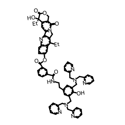 CCc1c2c(nc3ccc(OC(=O)c4cccc(C(=O)NCCc5cc(CN(Cc6ccccn6)Cc6ccccn6)c(O)c(CN(Cc6ccccn6)Cc6ccccn6)c5)c4)cc13)-c1cc3c(c(=O)n1C2)COC(=O)[C@]3(O)CC